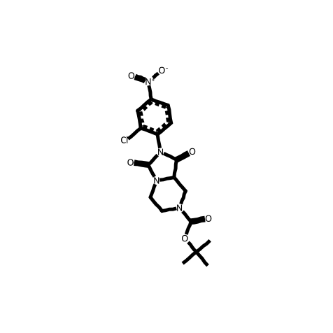 CC(C)(C)OC(=O)N1CCN2C(=O)N(c3ccc([N+](=O)[O-])cc3Cl)C(=O)C2C1